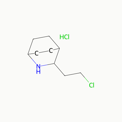 Cl.ClCCC1NC2CCC1CC2